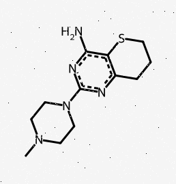 CN1CCN(c2nc(N)c3c(n2)CCCS3)CC1